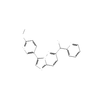 COc1ccc(-c2cnc3ccc(C(N)c4ccccn4)nn23)cn1